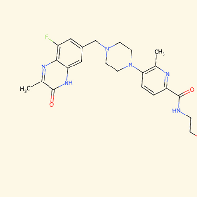 COCCNC(=O)c1ccc(N2CCN(Cc3cc(F)c4nc(C)c(=O)[nH]c4c3)CC2)c(C)n1